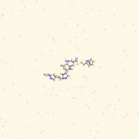 CC1NC=C(NSCCN2CC3CCC2CC3)C=C1NC(=O)c1cnn2cc(-c3cnn(C)c3)sc12